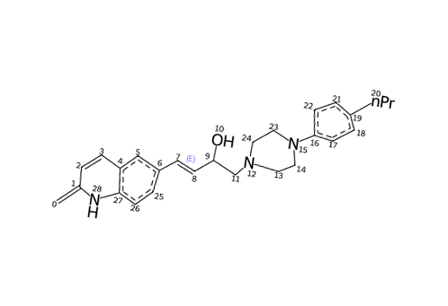 C=C1C=Cc2cc(/C=C/C(O)CN3CCN(c4ccc(CCC)cc4)CC3)ccc2N1